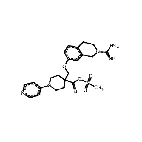 CS(=O)(=O)OC(=O)C1(COc2ccc3c(c2)CN(C(=N)N)CC3)CCN(c2ccncc2)CC1